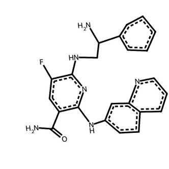 NC(=O)c1cc(F)c(NCC(N)c2ccccc2)nc1Nc1ccc2cccnc2c1